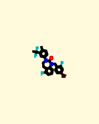 Cc1ccc(N2CCc3c(F)cccc3N(Cc3c(F)cc(Br)cc3F)C2=O)cc1C(C)(F)F